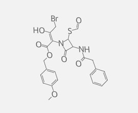 COc1ccc(COC(=O)C(=C(O)CBr)N2C(=O)C(NC(=O)Cc3ccccc3)C2SC=O)cc1